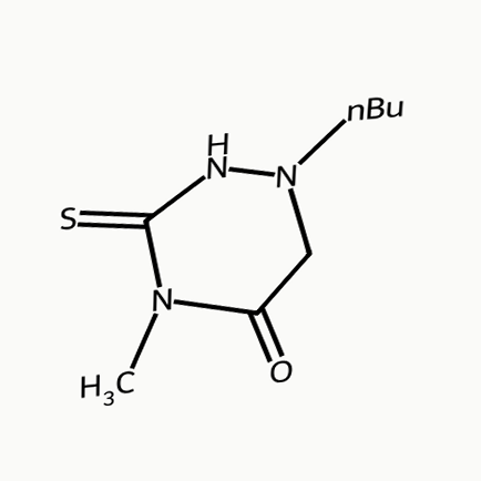 CCCCN1CC(=O)N(C)C(=S)N1